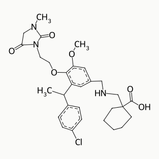 COc1cc(CNCC2(C(=O)O)CCCCC2)cc(C(C)c2ccc(Cl)cc2)c1OCCN1C(=O)CN(C)C1=O